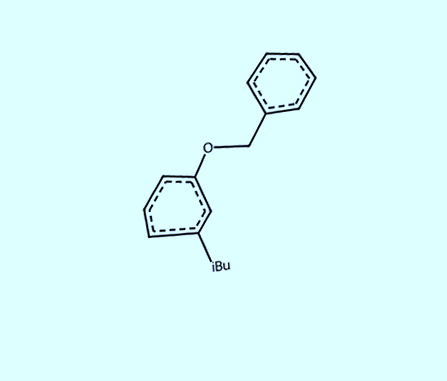 CCC(C)c1cccc(OCc2ccccc2)c1